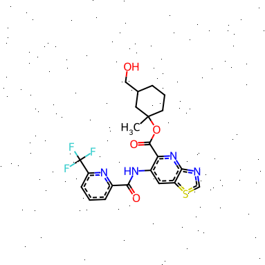 CC1(OC(=O)c2nc3ncsc3cc2NC(=O)c2cccc(C(F)(F)F)n2)CCCC(CO)C1